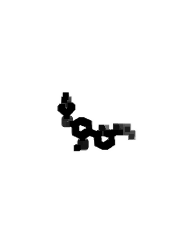 COc1cc(OC2CN(C)C2)ccc1-c1cccc(N)n1